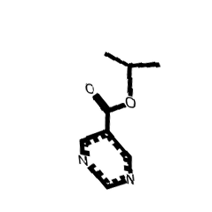 CC(C)OC(=O)c1cncnc1